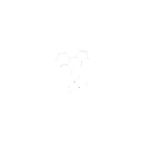 Cc1nccn1-c1ccccc1COC(F)(F)C(C)(C)C